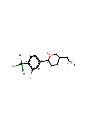 CCC1CCC(c2ccc(C(F)(F)F)c(F)c2)OC1